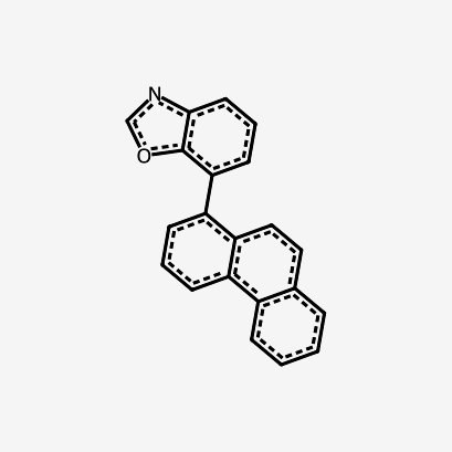 c1ccc2c(c1)ccc1c(-c3cccc4ncoc34)cccc12